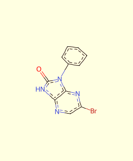 O=c1[nH]c2ncc(Br)nc2n1-c1ccccc1